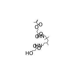 C=C(C)C(=O)OCCC(=O)ONCC(C)(C)CC(C)CCNOC(=O)CCO